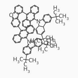 CC(C)(C)C1=CC2c3cc(C(C)(C)C)ccc3N(c3c4ccccc4c(-c4cccc5oc6ccc(-c7c8ccccc8c(-n8c9ccc(C(C)(C)C)cc9c9cc(C(C)(C)C)ccc98)c8ccccc78)cc6c45)c4ccccc34)C2C=C1